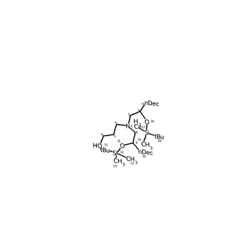 CCCCCCCCCCC(CN(CCCO)CC(CCCCCCCCCC)O[Si](C)(C)C(C)(C)C)O[Si](C)(C)C(C)(C)C